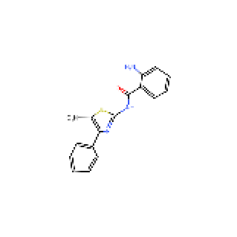 Nc1ccccc1C(=O)Nc1nc(-c2ccccc2)c([N+](=O)[O-])s1